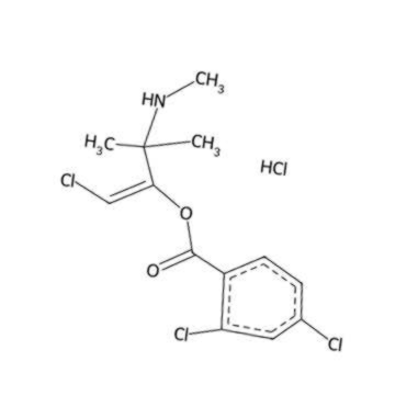 CNC(C)(C)C(=CCl)OC(=O)c1ccc(Cl)cc1Cl.Cl